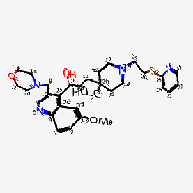 COc1ccc2ncc(CN3CCOCC3)c([C@H](O)CCC3(C(=O)O)CCN(CCSc4ccccn4)CC3)c2c1